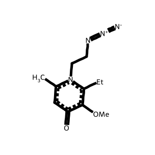 CCc1c(OC)c(=O)cc(C)n1CCN=[N+]=[N-]